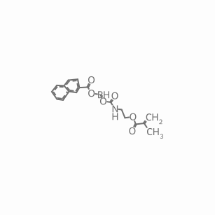 C=C(C)C(=O)OCCNC(=O)OBOC(=O)c1ccc2ccccc2c1